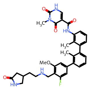 COc1cc(-c2cccc(-c3cccc(NC(=O)c4c[nH]c(=O)n(C)c4=O)c3C)c2C)cc(F)c1CNCCC1CNC(=O)C1